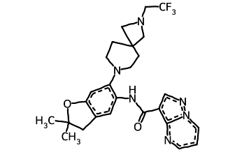 CC1(C)Cc2cc(NC(=O)c3cnn4cccnc34)c(N3CCC4(CC3)CN(CC(F)(F)F)C4)cc2O1